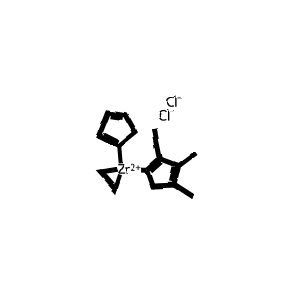 CC1=C(C)C(C)=[C]([Zr+2]2([C]3=CC=CC3)[CH2][CH2]2)C1.[Cl-].[Cl-]